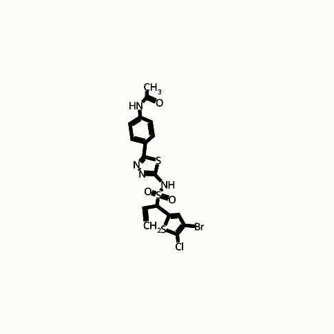 C=CC(c1cc(Br)c(Cl)s1)S(=O)(=O)Nc1nnc(-c2ccc(NC(C)=O)cc2)s1